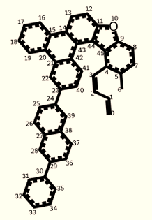 C=C/C=C\c1c(C)ccc2oc3ccc4c5ccccc5c5cc(-c6ccc7cc(-c8ccccc8)ccc7c6)ccc5c4c3c12